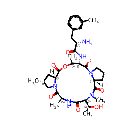 Cc1cccc(C[C@H](N)C(=O)N[C@@H]2C(=O)N3CCC[C@H]3C(=O)N(C)[C@@H]([C@H](C)O)C(=O)N[C@@H](C)C(=O)N3C[C@H](C)C[C@H]3C(=O)O[C@H]2C)c1